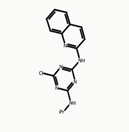 CC(C)Nc1nc(Cl)nc(Nc2ccc3ccccc3n2)n1